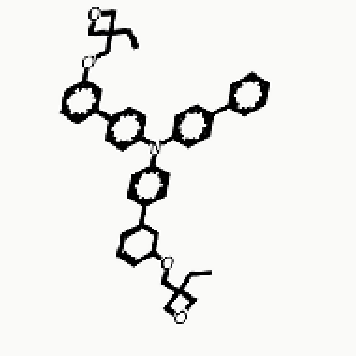 CCC1(COc2cccc(-c3ccc(N(c4ccc(C5=CC=CC(OCC6(CC)COC6)C5)cc4)c4ccc(-c5ccccc5)cc4)cc3)c2)COC1